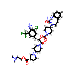 CN(C)CCOC(=O)[C@@H]1CCN(C2CCN(C(=O)[C@@H](Cc3cc(Cl)c(N)c(C(F)(F)F)c3)OC(=O)N3CCC(N4CCc5ccccc5NC4=O)CC3)CC2)C1